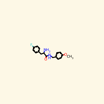 COc1ccc(CNC(=O)C(N)Cc2ccc(F)cc2)cc1